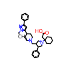 CCn1nc(-c2ccccc2)cc1C1CCN(CC2CN(C3(CC(=O)O)CCCCC3)CC2c2ccccc2)CC1